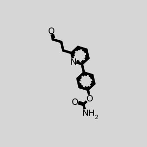 NC(=O)Oc1ccc(-c2cccc(CCC=O)n2)cc1